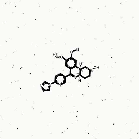 Br.CCOc1cc2c(cc1OC)C(c1ccc(-n3ccnc3)nc1)=N[C@@H]1CC[C@@H](O)C[C@H]21